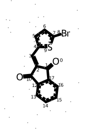 O=C1C(=Cc2ccc(Br)s2)C(=O)c2ccccc21